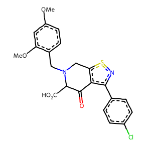 COc1ccc(CN2Cc3snc(-c4ccc(Cl)cc4)c3C(=O)C2C(=O)O)c(OC)c1